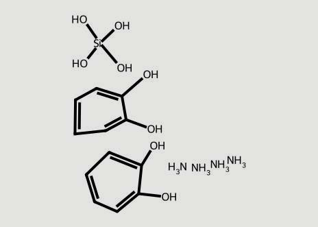 N.N.N.N.O[Si](O)(O)O.Oc1ccccc1O.Oc1ccccc1O